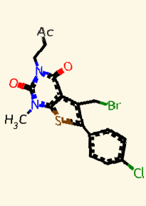 CC(=O)CCn1c(=O)c2c(CBr)c(-c3ccc(Cl)cc3)sc2n(C)c1=O